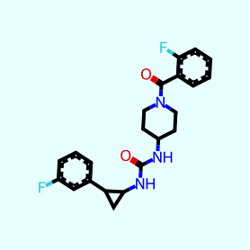 O=C(NC1CCN(C(=O)c2ccccc2F)CC1)NC1CC1c1cccc(F)c1